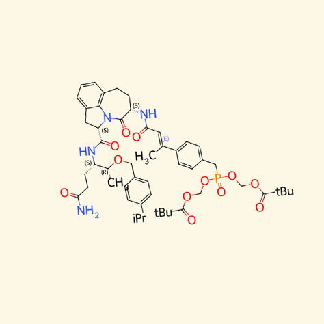 C/C(=C\C(=O)N[C@H]1CCc2cccc3c2N(C1=O)[C@H](C(=O)N[C@@H](CCC(N)=O)[C@@H](C)OCc1ccc(C(C)C)cc1)C3)c1ccc(CP(=O)(OCOC(=O)C(C)(C)C)OCOC(=O)C(C)(C)C)cc1